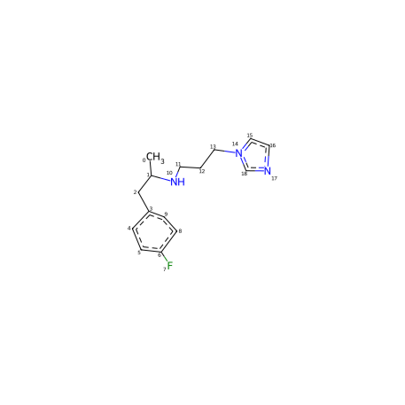 CC(Cc1ccc(F)cc1)NCCCn1ccnc1